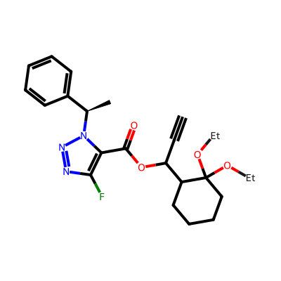 C#CC(OC(=O)c1c(F)nnn1[C@H](C)c1ccccc1)C1CCCCC1(OCC)OCC